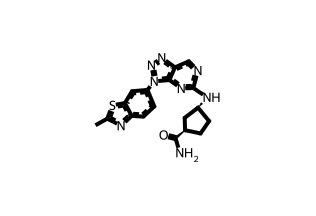 Cc1nc2ccc(-n3nnc4cnc(N[C@@H]5CC[C@@H](C(N)=O)C5)nc43)cc2s1